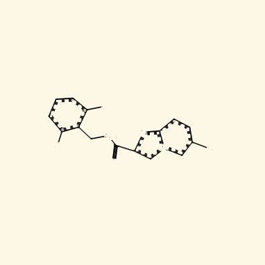 O=C(NCc1c(Cl)cccc1C(F)(F)F)c1cn2cc(Br)ccc2n1